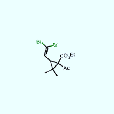 CCOC(=O)C1(C(C)=O)C(C=C(Br)Br)C1(C)C